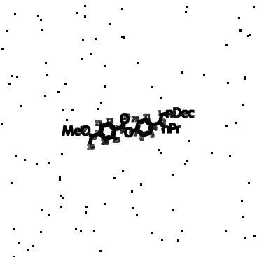 CCCCCCCCCCCC(CCC)c1ccc(OC(=O)c2ccc(C(C)OC)cc2)cc1